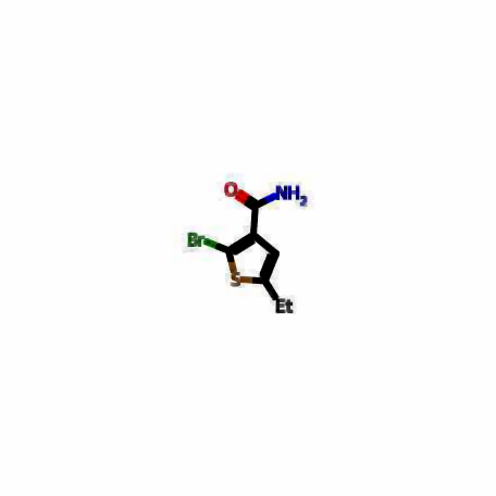 CCc1cc(C(N)=O)c(Br)s1